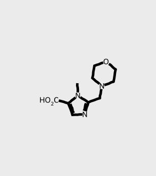 Cn1c(C(=O)O)cnc1CN1CCOCC1